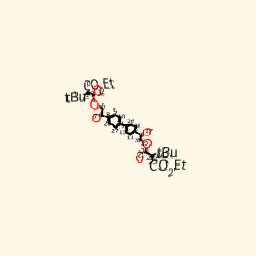 CCOC(=O)C(C(=O)OCC(=O)c1ccc(-c2ccc(C(=O)COC(=O)C(C(=O)OCC)C(C)(C)C)cc2)cc1)C(C)(C)C